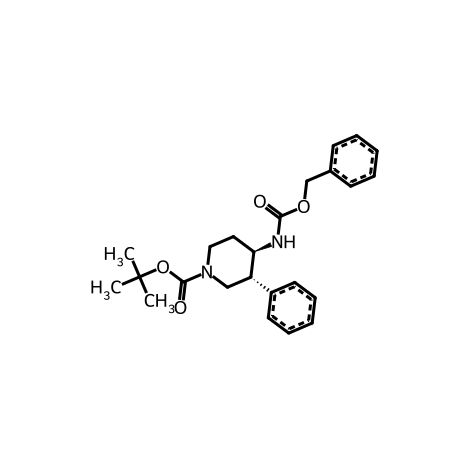 CC(C)(C)OC(=O)N1CC[C@@H](NC(=O)OCc2ccccc2)[C@H](c2ccccc2)C1